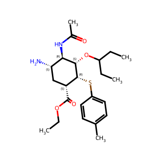 CCOC(=O)[C@@H]1C[C@H](N)[C@@H](NC(C)=O)[C@H](OC(CC)CC)[C@@H]1Sc1ccc(C)cc1